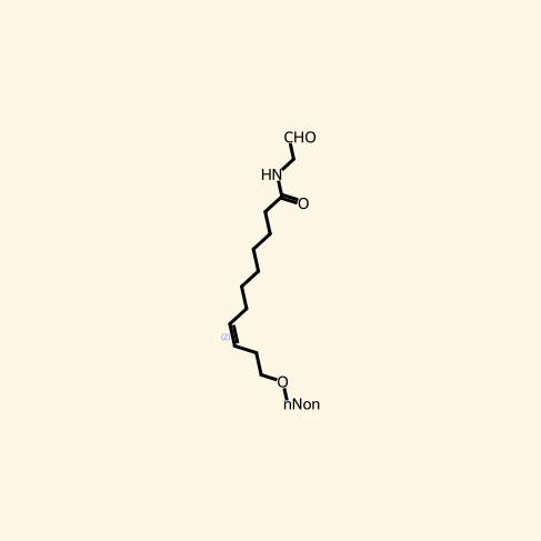 CCCCCCCCCOCC/C=C\CCCCCCC(=O)NCC=O